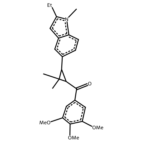 CCc1cc2cc(C3C(C(=O)c4cc(OC)c(OC)c(OC)c4)C3(C)C)ccc2n1C